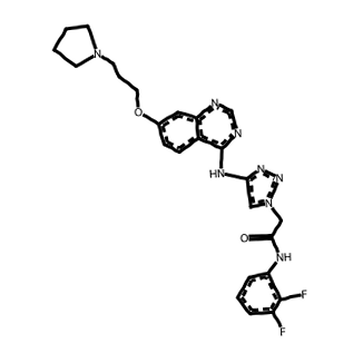 O=C(Cn1cc(Nc2ncnc3cc(OCCCN4CCCC4)ccc23)nn1)Nc1cccc(F)c1F